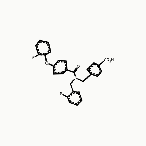 O=C(O)c1ccc(CN(Cc2ccccc2F)C(=O)c2ccc(Oc3ccccc3F)cc2)cc1